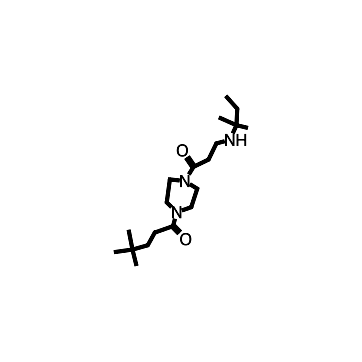 CCC(C)(C)NCCC(=O)N1CCN(C(=O)CCC(C)(C)C)CC1